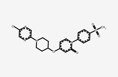 CS(=O)(=O)c1ccc(-n2ccc(OC3CCN(c4cnc(Cl)cn4)CC3)cc2=O)cc1